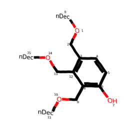 CCCCCCCCCCOCc1ccc(O)c(COCCCCCCCCCC)c1COCCCCCCCCCC